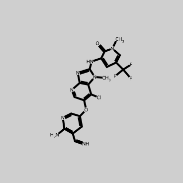 Cn1cc(C(F)(F)F)cc(Nc2nc3ncc(Oc4cnc(N)c(C=N)c4)c(Cl)c3n2C)c1=O